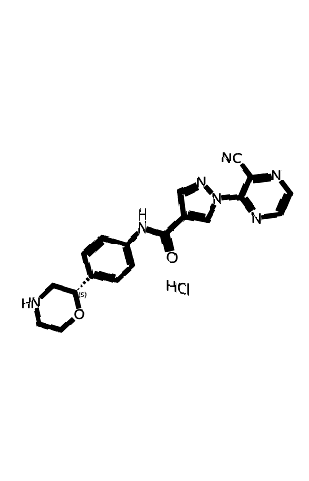 Cl.N#Cc1nccnc1-n1cc(C(=O)Nc2ccc([C@H]3CNCCO3)cc2)cn1